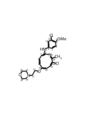 COc1ccc(Nc2cccc(OCCN3CCOCC3)ccc(Cl)c(C)n2)cc1Cl